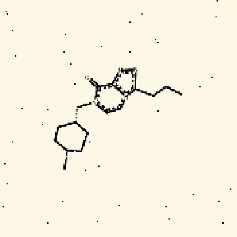 CCCc1nnc2c(=O)n(C[C@H]3CC[C@H](C)CC3)ccn12